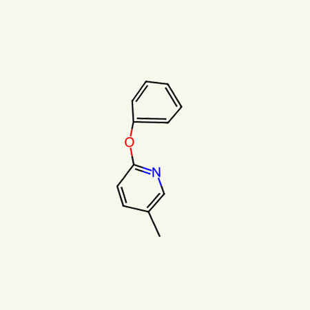 Cc1ccc(Oc2ccccc2)nc1